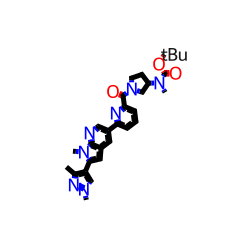 Cc1nn(C)cc1-c1cc2cc(-c3cccc(C(=O)N4CCC(N(C)C(=O)OC(C)(C)C)C4)n3)cnc2n1C